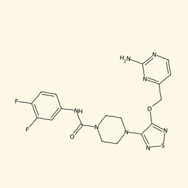 Nc1nccc(COc2nsnc2N2CCN(C(=O)Nc3ccc(F)c(F)c3)CC2)n1